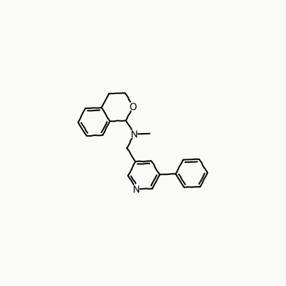 CN(Cc1cncc(-c2ccccc2)c1)C1OCCc2ccccc21